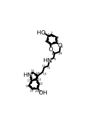 Oc1ccc2c(c1)OC(CNCCCc1c[nH]c3ccc(O)cc13)CO2